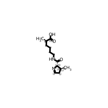 C[C@H](CCCCNC(=O)[C@H]1N=CC[C@@H]1C)C(=O)O